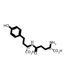 N[C@@H](CCC(=O)N[C@@H](CCc1ccc(O)cc1)C(=O)O)C(=O)O